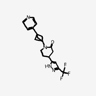 O=C1CC(c2cc(C(F)(F)F)n[nH]2)CCN1C12CC(c3ccncc3)(C1)C2